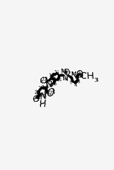 COc1cccc(-c2nc(-c3ccc4c(c3)CN(C3CCC(=O)NC3=O)C4=O)no2)n1